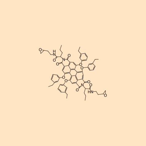 CCCC(C(=O)NCCC1CO1)N1C(=O)c2cc(Oc3cccc(CC)c3)c3c4c(Oc5cccc(CC)c5)cc5c6c(cc(Oc7cccc(CC)c7)c(c7c(Oc8cccc(CC)c8)cc(c2c37)C1=O)c64)C(=O)N(C(CCC)C(=O)NCCC1CO1)C5=O